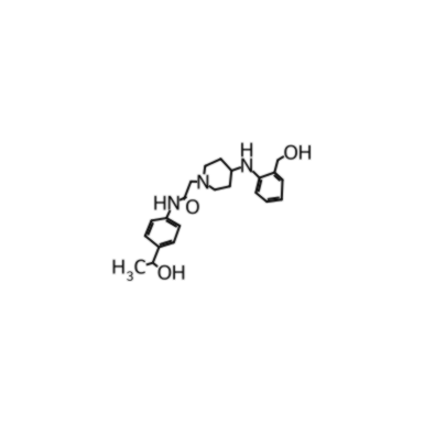 CC(O)c1ccc(NC(=O)CN2CCC(Nc3ccccc3CO)CC2)cc1